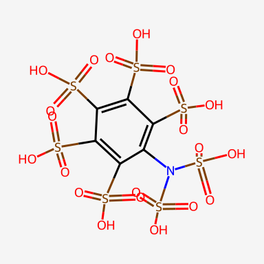 O=S(=O)(O)c1c(N(S(=O)(=O)O)S(=O)(=O)O)c(S(=O)(=O)O)c(S(=O)(=O)O)c(S(=O)(=O)O)c1S(=O)(=O)O